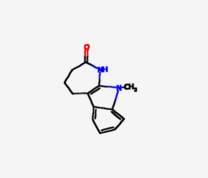 Cn1c2c(c3ccccc31)CCCC(=O)N2